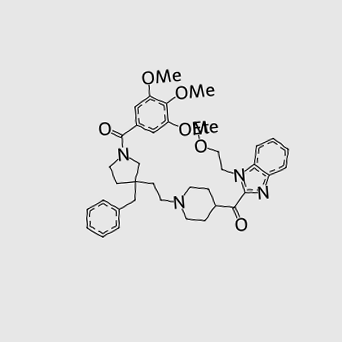 CCOCCn1c(C(=O)C2CCN(CCC3(Cc4ccccc4)CCN(C(=O)c4cc(OC)c(OC)c(OC)c4)C3)CC2)nc2ccccc21